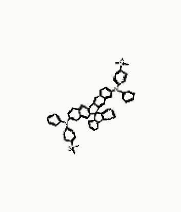 C[Si](C)(C)c1ccc(N(c2ccccc2)c2ccc3cc4c(cc3c2)C2(c3ccccc3-c3ccccc32)c2cc3cc(N(c5ccccc5)c5ccc([Si](C)(C)C)cc5)ccc3cc2-4)cc1